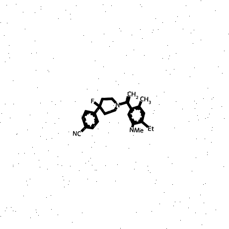 C=C(c1cc(NC)c(CC)cc1C)N1CCC(F)(c2ccc(C#N)cc2)CC1